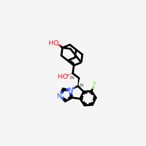 O[C@@H](C[C@H]1c2c(F)cccc2-c2cncn21)C1=C2CC3CC1CC(O)(C2)C3